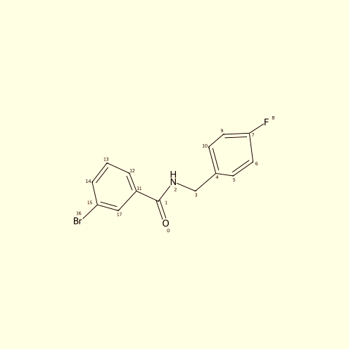 O=C(NCc1ccc(F)cc1)c1cccc(Br)c1